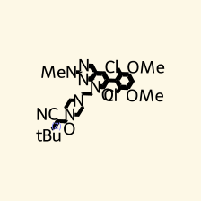 CNc1ncc2cc(-c3c(Cl)c(OC)cc(OC)c3Cl)c(=O)n(CCN3CCN(C(=O)/C(C#N)=C\C(C)(C)C)CC3)c2n1